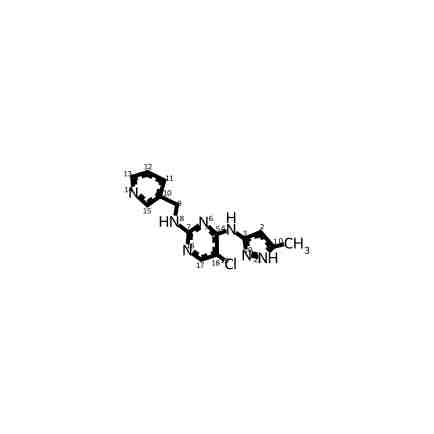 Cc1cc(Nc2nc(NCc3cccnc3)ncc2Cl)n[nH]1